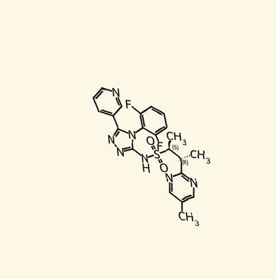 Cc1cnc([C@@H](C)[C@H](C)S(=O)(=O)Nc2nnc(-c3cccnc3)n2-c2c(F)cccc2F)nc1